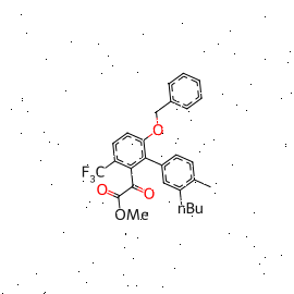 CCCCc1cc(-c2c(OCc3ccccc3)ccc(C(F)(F)F)c2C(=O)C(=O)OC)ccc1C